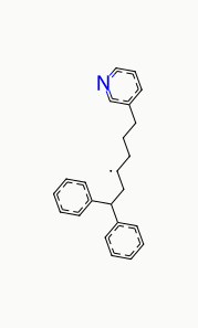 [CH](CCCc1cccnc1)CC(c1ccccc1)c1ccccc1